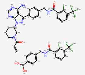 C=CC(=O)N1CCC[C@@H](n2nc(-c3ccc(CNC(=O)c4cccc(C(F)(F)F)c4F)cc3)c3c(N)ncnc32)C1.O=C(NCc1ccc(B(O)O)cc1)c1cccc(C(F)(F)F)c1F